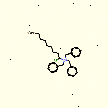 CCCCCCCCCCCCCCCCCC(Cl)[N+](Cc1ccccc1)(Cc1ccccc1)Cc1ccccc1